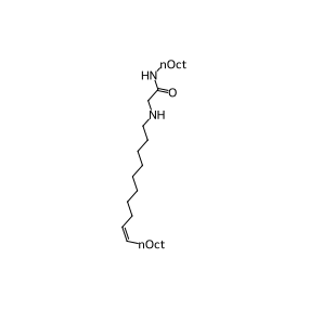 CCCCCCCC/C=C\CCCCCCCCNCC(=O)NCCCCCCCC